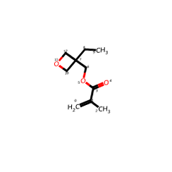 C=C(C)C(=O)OCC1(CC)COC1